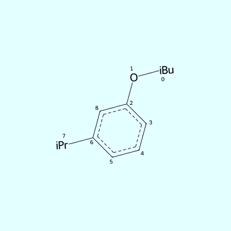 [CH2]C(CC)Oc1cccc(C(C)C)c1